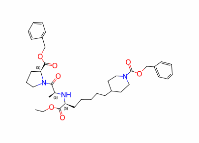 CCOC(=O)[C@H](CCCCCC1CCN(C(=O)OCc2ccccc2)CC1)N[C@@H](C)C(=O)N1CCC[C@H]1C(=O)OCc1ccccc1